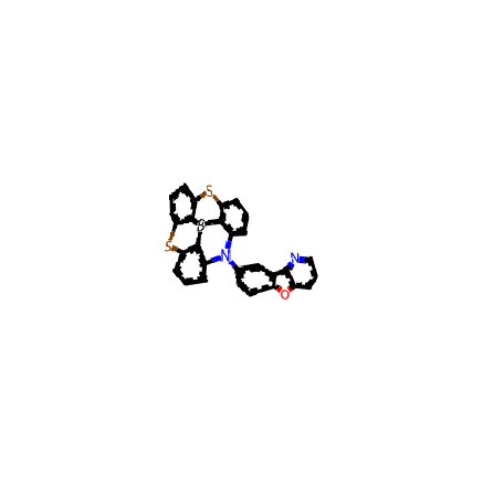 c1cc2c3c(c1)Sc1cccc4c1B3c1c(cccc1N4c1ccc3oc4cccnc4c3c1)S2